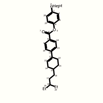 CCCCCCCc1ccc(OC(=O)c2ccc(C3=CCC(CCC(CC)CC)CC3)cc2)cc1